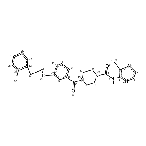 O=C(Nc1nccnc1Cl)N1CCN(C(=O)c2ccnc(OCCc3ccccc3F)c2)CC1